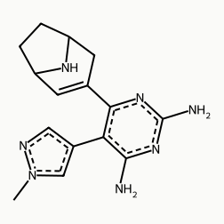 Cn1cc(-c2c(N)nc(N)nc2C2=CC3CCC(C2)N3)cn1